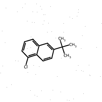 CC(C)(C)c1ccc2c(Cl)cccc2c1